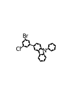 Clc1cc(Br)cc(-c2ccc3c(c2)c2ccccc2n3-c2ccccc2)c1